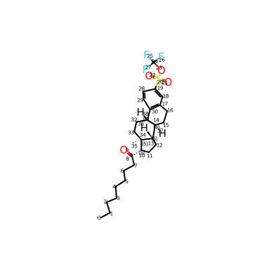 CCCCCCCCC(=O)[C@H]1CC[C@H]2[C@@H]3CCc4cc(S(=O)(=O)OC(F)(F)F)ccc4[C@H]3CC[C@]12C